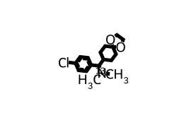 CN([13CH3])C(c1ccc(Cl)cc1)C1CCC2(CC1)OCCO2